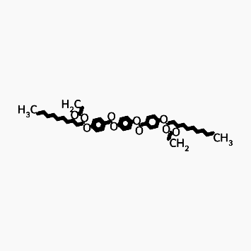 C=CC(=O)OC(CCCCCCCCCC)Oc1ccc(C(=O)Oc2ccc(OC(=O)C3CCC(OC(CCCCCCCCCC)OC(=O)C=C)CC3)cc2)cc1